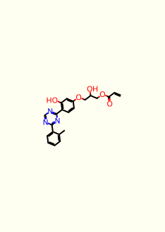 C=CC(=O)OCC(O)COc1ccc(-c2ncnc(-c3ccccc3C)n2)c(O)c1